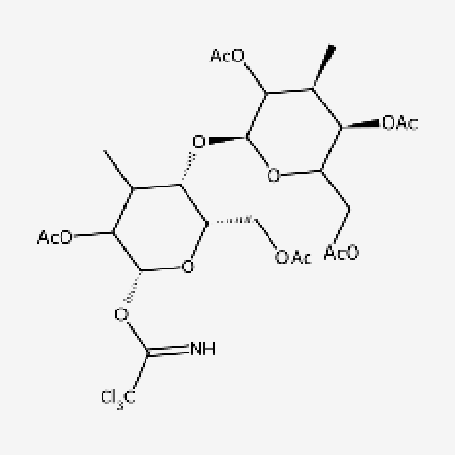 CC(=O)OCC1O[C@@H](O[C@H]2C(C)C(OC(C)=O)[C@@H](OC(=N)C(Cl)(Cl)Cl)O[C@H]2COC(C)=O)C(OC(C)=O)[C@@H](C)[C@H]1OC(C)=O